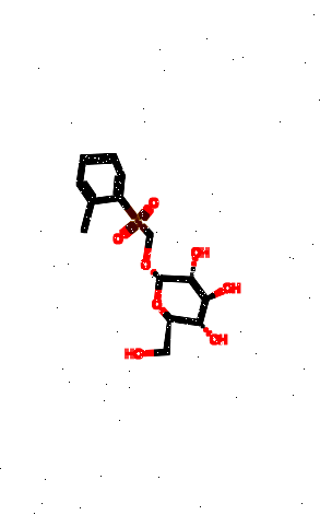 Cc1ccccc1S(=O)(=O)CO[C@H]1O[C@H](CO)[C@@H](O)[C@H](O)[C@H]1O